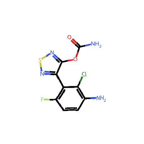 NC(=O)Oc1nsnc1-c1c(F)ccc(N)c1Cl